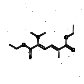 CCOC(=O)C(C)=CC=C(C(=S)OCC)N(C)C